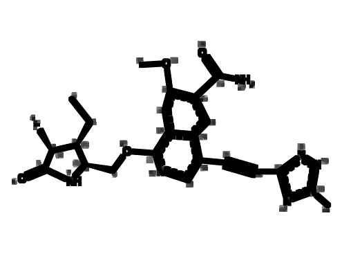 CC[C@@H]1[C@H](F)C(=O)N[C@@H]1COc1ncc(C#Cc2nnn(C)n2)c2cc(C(N)=O)c(OC)cc12